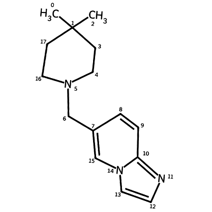 CC1(C)CCN(Cc2ccc3nccn3c2)CC1